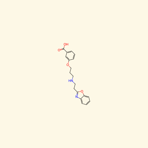 O=C(O)c1cccc(OCCCNCCc2nc3ccccc3o2)c1